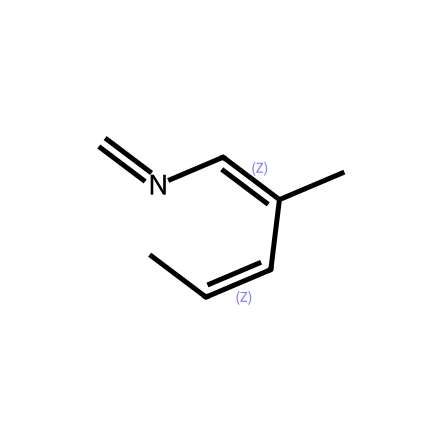 C=N/C=C(C)\C=C/C